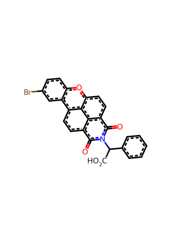 O=C(O)C(c1ccccc1)n1c(=O)c2ccc3oc4ccc(Br)cc4c4ccc(c1=O)c2c34